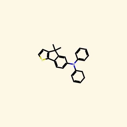 CC1(C)c2cc(N(C3=CC=CCC3)c3ccccc3)ccc2-c2sccc21